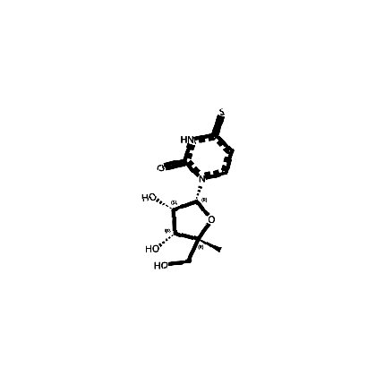 C[C@]1(CO)O[C@@H](n2ccc(=S)[nH]c2=O)[C@@H](O)[C@H]1O